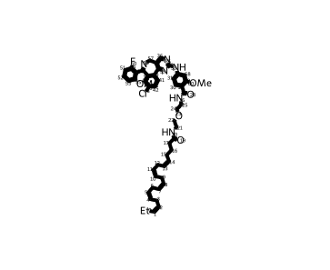 CC/C=C\C/C=C\C/C=C\C/C=C\C/C=C\CCCC(=O)NCCOCCNC(=O)c1ccc(Nc2ncc3c(n2)-c2ccc(Cl)cc2C(c2c(F)cccc2OC)=NC3)cc1OC